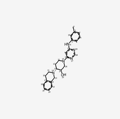 Cc1cccc(Nc2cc(N3CC[C@@H](N4CCc5ccccc5C4)[C@H](O)C3)ncn2)c1